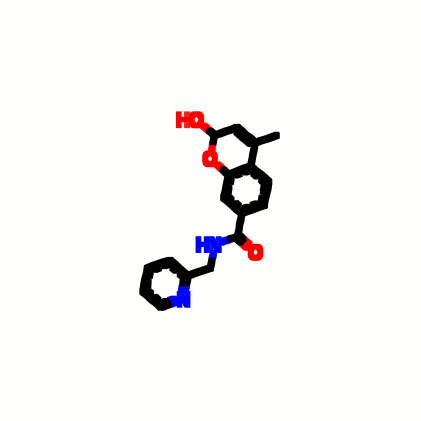 CC1=CC(O)Oc2cc(C(=O)NCc3ccccn3)ccc21